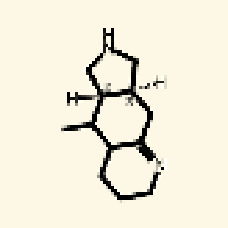 CC1C2CCCN=C2C[C@@H]2CNC[C@@H]12